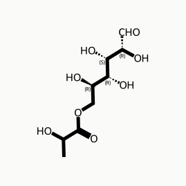 CC(O)C(=O)OC[C@@H](O)[C@@H](O)[C@H](O)[C@@H](O)C=O